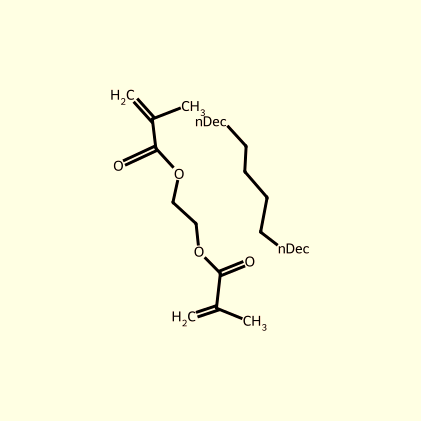 C=C(C)C(=O)OCCOC(=O)C(=C)C.CCCCCCCCCCCCCCCCCCCCCCCC